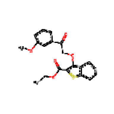 CCOC(=O)c1sc2ccccc2c1OCC(=O)c1cccc(OC)c1